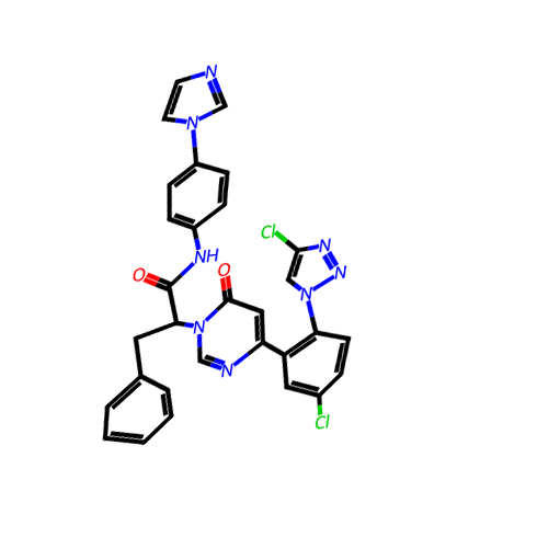 O=C(Nc1ccc(-n2ccnc2)cc1)C(Cc1ccccc1)n1cnc(-c2cc(Cl)ccc2-n2cc(Cl)nn2)cc1=O